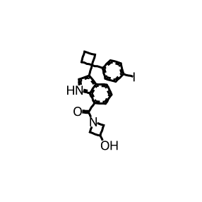 O=C(c1cccc2c(C3(c4ccc(I)cc4)CCC3)c[nH]c12)N1CC(O)C1